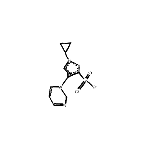 CC(C)S(=O)(=O)c1nn(C2CC2)cc1N1C=CC=NC1